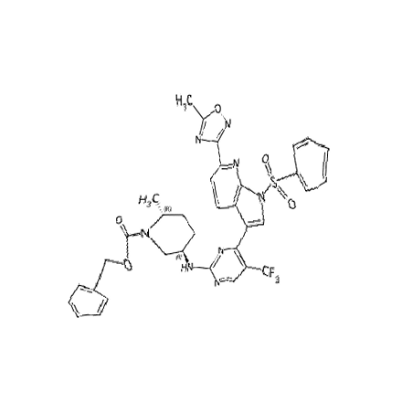 Cc1nc(-c2ccc3c(-c4nc(N[C@@H]5CC[C@@H](C)N(C(=O)OCc6ccccc6)C5)ncc4C(F)(F)F)cn(S(=O)(=O)c4ccccc4)c3n2)no1